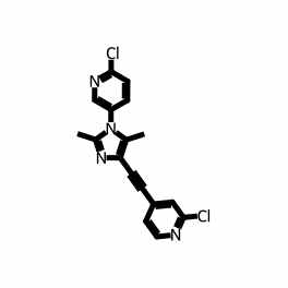 Cc1nc(C#Cc2ccnc(Cl)c2)c(C)n1-c1ccc(Cl)nc1